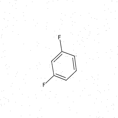 Fc1[c]ccc(F)c1